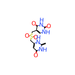 C=C1NC(=O)C=C(CS(=O)(=O)Cc2c[nH]c(=O)[nH]c2=O)N1